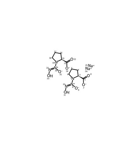 O=C([O-])[C@@H]1CCCN1[N+]([O-])=NO.O=C([O-])[C@@H]1CCCN1[N+]([O-])=NO.[Na+].[Na+]